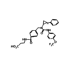 O=C(O)CCNC(=O)c1ccc(CN(C(=O)Nc2ccc(OC(F)(F)F)cc2)C2C[C@H]2c2ccccc2)cc1